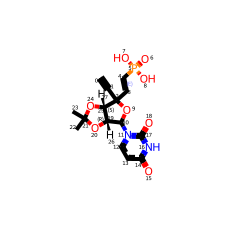 C#CC1(/C=C/P(=O)(O)O)OC(n2ccc(=O)[nH]c2=O)[C@@H]2OC(C)(C)O[C@@H]21